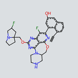 C#Cc1cccc2cc(O)cc(-c3nc4c5c(nc(OCC67CCCN6CC(F)C7)nc5c3F)N3CCNCC3CO4)c12